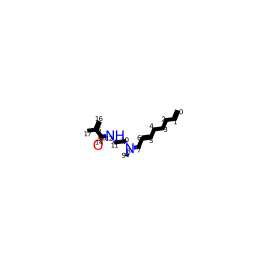 C=CCCC/C=C/CN(C)CCNC(=O)C(=C)C